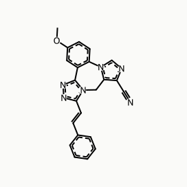 COc1ccc2c(c1)-c1nnc(/C=C/c3ccccc3)n1Cc1c(C#N)ncn1-2